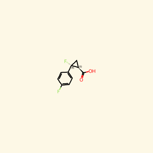 O=C(O)[C@@H]1C[C@]1(F)c1ccc(F)cc1